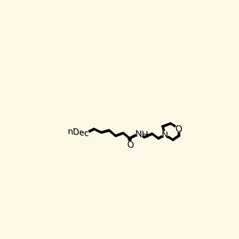 CCCCCCCCCCCCCCCC(=O)NCCCN1CCOCC1